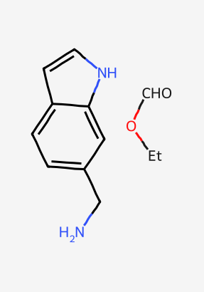 CCOC=O.NCc1ccc2cc[nH]c2c1